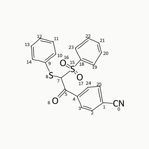 N#Cc1ccc(C(=O)C(Sc2ccccc2)S(=O)(=O)c2ccccc2)cc1